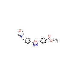 COC(=O)c1ccc(-c2nnc(-c3ccc(CN4CCOCC4)cc3)o2)cc1